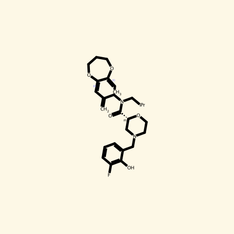 C=C(/C=C1/OCCCO/C1=C/C)CN(CC(C)C)C(=O)[C@H]1CN(Cc2cccc(F)c2O)CCO1